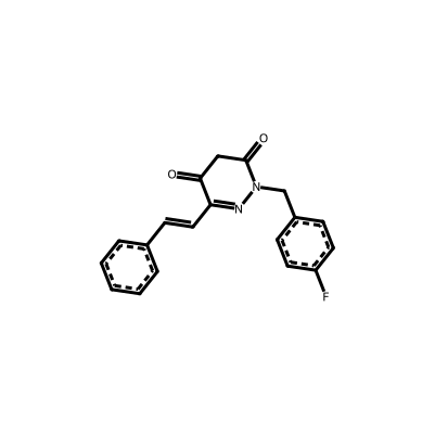 O=C1CC(=O)N(Cc2ccc(F)cc2)N=C1C=Cc1ccccc1